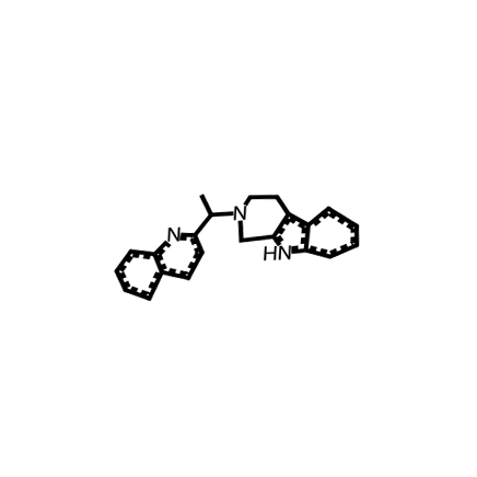 CC(c1ccc2ccccc2n1)N1CCc2c([nH]c3ccccc23)C1